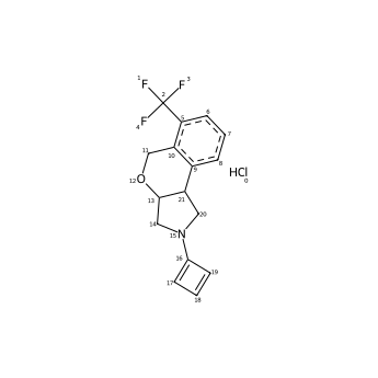 Cl.FC(F)(F)c1cccc2c1COC1CN(C3=CC=C3)CC21